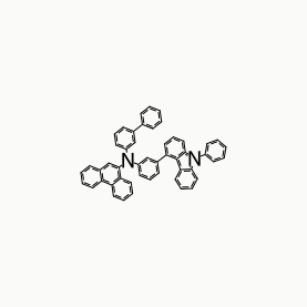 c1ccc(-c2cccc(N(c3cccc(-c4cccc5c4c4ccccc4n5-c4ccccc4)c3)c3cc4ccccc4c4ccccc34)c2)cc1